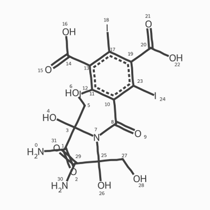 NC(=O)C(O)(CO)N(C(=O)c1c(I)c(C(=O)O)c(I)c(C(=O)O)c1I)C(O)(CO)C(N)=O